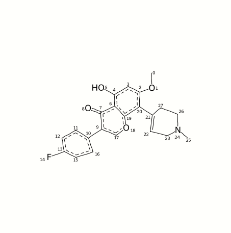 COc1cc(O)c2c(=O)c(-c3ccc(F)cc3)coc2c1C1=CCN(C)CC1